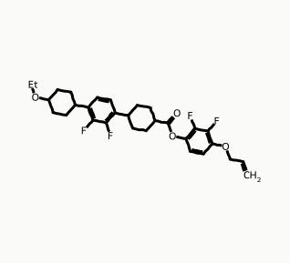 C=CCOc1ccc(OC(=O)C2CCC(c3ccc(C4CCC(OCC)CC4)c(F)c3F)CC2)c(F)c1F